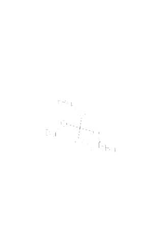 CC(C)(C)OC(OC(C)(C)C)(OC(C)(C)C)C(=O)O